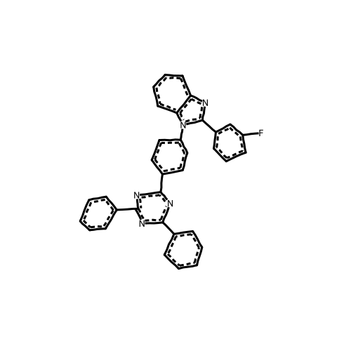 Fc1cccc(-c2nc3ccccc3n2-c2ccc(-c3nc(-c4ccccc4)nc(-c4ccccc4)n3)cc2)c1